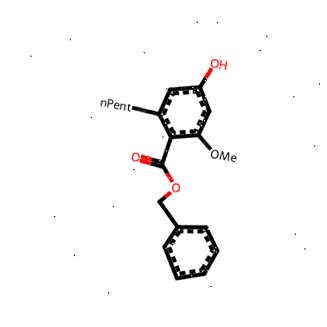 CCCCCc1[c]c(O)cc(OC)c1C(=O)OCc1ccccc1